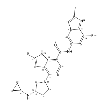 Cc1cn2cc(NC(=O)c3ccc(N4CC[C@H](NC5CC5)C4)c4cc(C)[nH]c34)cc(F)c2n1